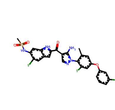 Cc1cc(Oc2cccc(Cl)c2)cc(F)c1-n1ncc(C(=O)c2cc3cc(F)c(NS(C)(=O)=O)cc3[nH]2)c1N